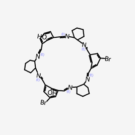 Oc1c2cccc1/C=N/C1CCCCC1/N=C/c1cc(Br)cc(c1O)/C=N/C1CCCCC1/N=C/c1cc(Br)cc(c1)/C=N/C1CCCCC1/N=C/2